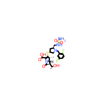 C[C@@H](O)[C@H]1C(=O)N2C(C(=O)O)=C(S[C@H]3C[C@@H](CNS(N)(=O)=O)N(Cc4cc(F)ccc4F)C3)[C@H](C)[C@H]12